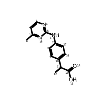 Cc1ccnc(Nc2ccc(C(C)C(=O)O)cc2)n1